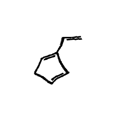 C=CC1=CCC=C1